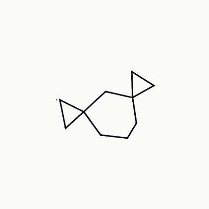 [CH]1CC12CCCC1(CC1)C2